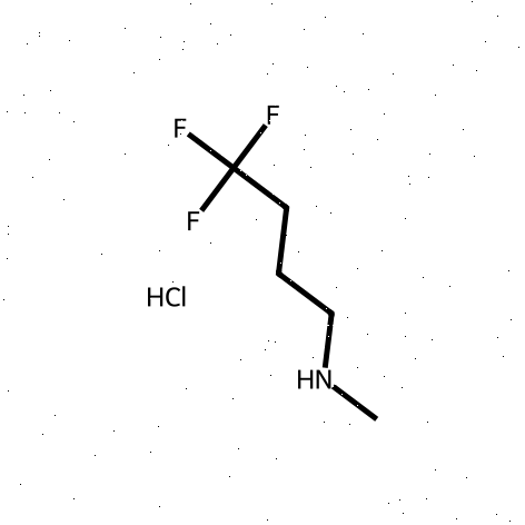 CNCCCC(F)(F)F.Cl